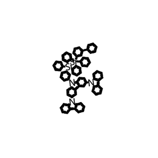 c1ccc(-c2cccc([Si]3(c4ccccc4)c4ccccc4[Si](c4ccccc4)(c4cccc(-n5c6ccc(-n7c8ccccc8c8ccccc87)cc6c6cc(-n7c8ccccc8c8ccccc87)ccc65)c4)c4ccccc43)c2)cc1